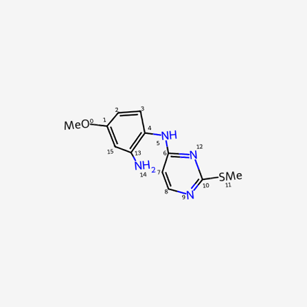 COc1ccc(Nc2ccnc(SC)n2)c(N)c1